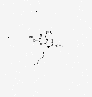 CC[C@H](C)Oc1nc(N)c2nc(OC)n(CCCCCCl)c2n1